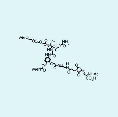 CNC(=O)OCc1ccc(NC(=O)[C@H](CCCNC(N)=O)NC(=O)[C@@H](NC(=O)COCCOCCOC)C(C)C)cc1OCC(=O)NCCCNC(=O)CCN1C(=O)CC(SCC(NC(C)=O)C(=O)O)C1=O